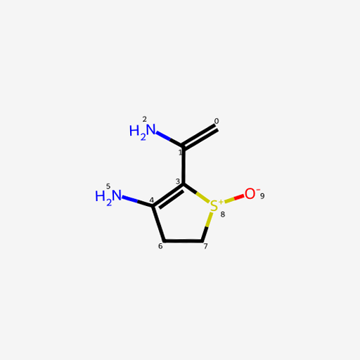 C=C(N)C1=C(N)CC[S+]1[O-]